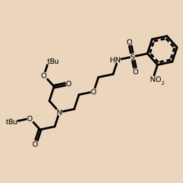 CC(C)(C)OC(=O)CN(CCOCCNS(=O)(=O)c1ccccc1[N+](=O)[O-])CC(=O)OC(C)(C)C